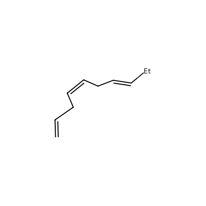 C=CC/C=C\C/C=C/CC